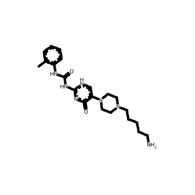 Cc1ccccc1NC(=O)Nc1nc(=O)c(N2CCN(CCCCCN)CC2)c[nH]1